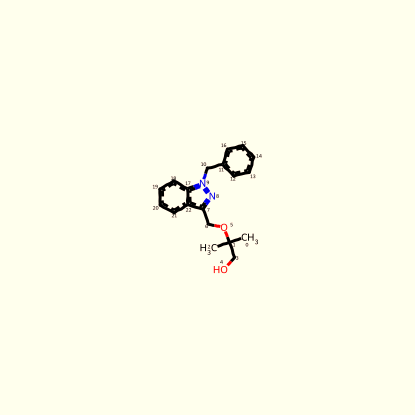 CC(C)(CO)OCc1nn(Cc2ccccc2)c2ccccc12